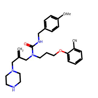 C=C(CN1CCNCC1)CN(CCCOc1ccccc1C#N)C(=O)NCc1ccc(OC)cc1